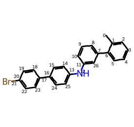 Cc1ccccc1-c1cccc(Nc2ccc(-c3ccc(Br)cc3)cc2)c1